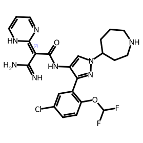 N=C(N)/C(C(=O)Nc1cn(C2CCCNCC2)nc1-c1cc(Cl)ccc1OC(F)F)=C1/N=CC=CN1